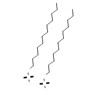 CCCCCCCCCCCCOS(=O)(=O)[O-].CCCCCCCCCCCCOS(=O)(=O)[O-].[Ca+2]